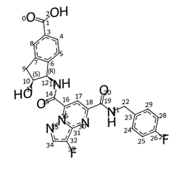 O=C(O)c1ccc2c(c1)C[C@H](O)[C@@H]2NC(=O)c1cc(C(=O)NCc2ccc(F)cc2)nc2c(F)cnn12